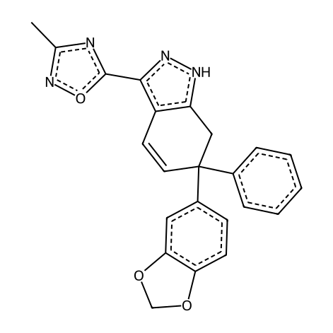 Cc1noc(-c2n[nH]c3c2C=CC(c2ccccc2)(c2ccc4c(c2)OCO4)C3)n1